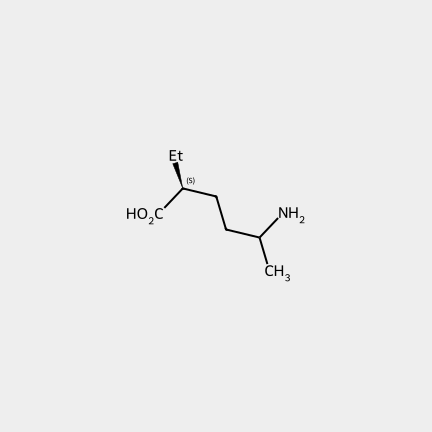 CC[C@@H](CCC(C)N)C(=O)O